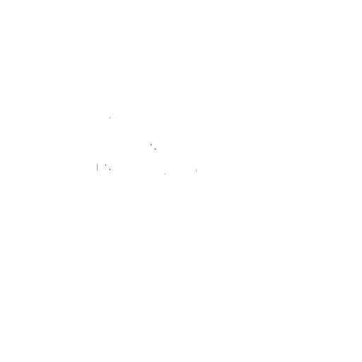 O=C1Nc2ccccc2C2(c3cccc4ccccc34)OCCN12